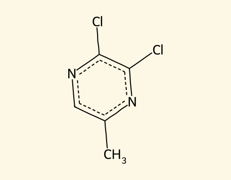 Cc1cnc(Cl)c(Cl)n1